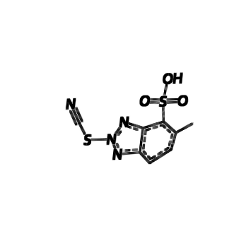 Cc1ccc2nn(SC#N)nc2c1S(=O)(=O)O